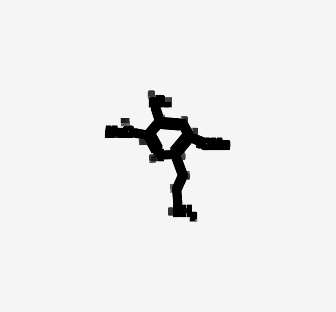 CCCCc1cc(OC)c(CCN)nc1OC